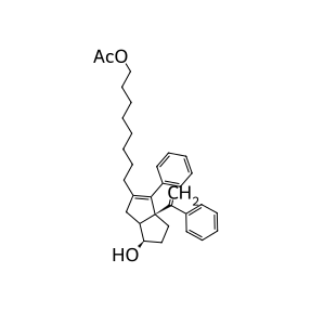 C=C(c1ccccc1)[C@@]12CC[C@@H](O)C1CC(CCCCCCCCOC(C)=O)=C2c1ccccc1